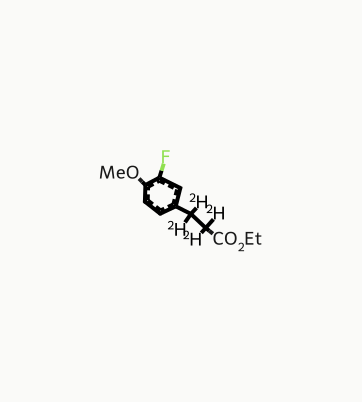 [2H]C([2H])(C(=O)OCC)C([2H])([2H])c1ccc(OC)c(F)c1